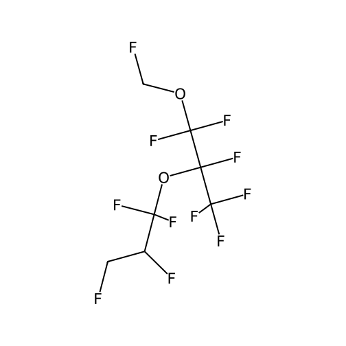 FCOC(F)(F)C(F)(OC(F)(F)C(F)CF)C(F)(F)F